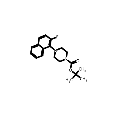 CC(C)(C)OC(=O)N1CCN(c2c(F)ccc3ccccc23)CC1